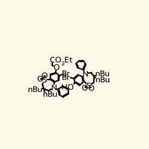 CCCCC1(CCCC)CN(c2ccccc2)c2cc(Br)c(O)cc2S(=O)(=O)C1.CCCCC1(CCCC)CN(c2ccccc2)c2cc(Br)c(OCC(=O)OCC)cc2S(=O)(=O)C1